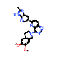 COc1cc2c(cc1OC)CN(c1ncnc3ccc(-c4cnc5[nH]c(C)nc5c4)nc13)CC2